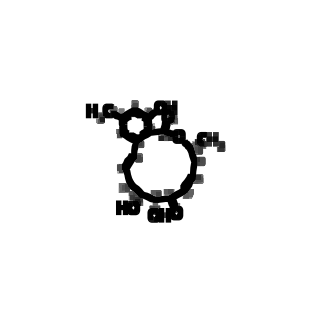 Cc1cc(O)c2c(c1)/C=C/C[C@@H](O)[C@@H](O)C(=O)/C=C\C[C@@H](C)OC2=O